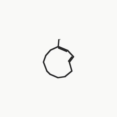 [CH2]/C1=C/C=C/CCCCCCCC1